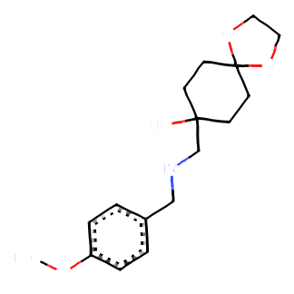 COc1ccc(CNCC2(O)CCC3(CC2)OCCO3)cc1